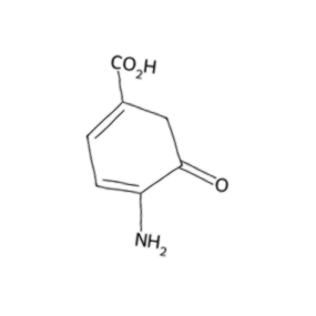 NC1=CC=C(C(=O)O)CC1=O